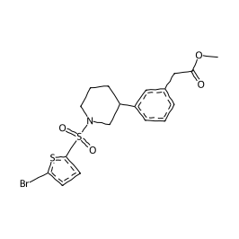 COC(=O)Cc1cccc(C2CCCN(S(=O)(=O)c3ccc(Br)s3)C2)c1